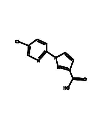 O=C(O)c1ccn(-c2ccc(Cl)cn2)n1